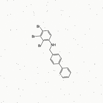 Brc1ccc(NCc2ccc(-c3ccccc3)cc2)c(Br)c1Br